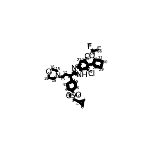 O=S(=O)(CC1CC1)c1ccc(C(CCN2CCOCC2)c2nc3cc(Cl)c(-c4ccccc4OC(F)F)c(Cl)c3[nH]2)cc1